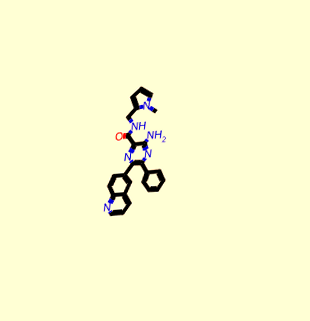 Cn1cccc1CNC(=O)c1nc(-c2ccc3ncccc3c2)c(-c2ccccc2)nc1N